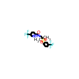 CC(C)(CNC(=O)c1ccc(C(F)(F)F)cn1)S(=O)(=O)c1cccc(C(F)(F)F)c1